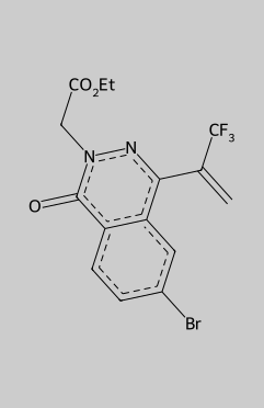 C=C(c1nn(CC(=O)OCC)c(=O)c2ccc(Br)cc12)C(F)(F)F